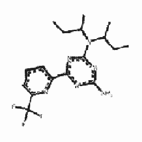 CCC(C)N(c1nc(N)nc(-c2cccc(C(F)(F)F)n2)n1)C(C)CC